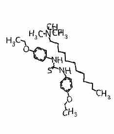 CCCCCCCCCCCC[N+](C)(C)C.CCOc1ccc(NC(=S)Nc2ccc(OCC)cc2)cc1